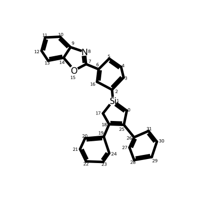 C1=[Si](c2cccc(-c3nc4ccccc4o3)c2)CC(c2ccccc2)=C1c1ccccc1